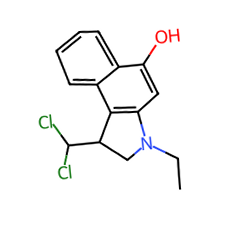 CCN1CC(C(Cl)Cl)c2c1cc(O)c1ccccc21